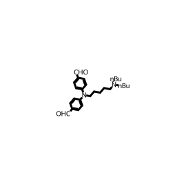 CCCCN(CCCC)CCCCCN(c1ccc(C=O)cc1)c1ccc(C=O)cc1